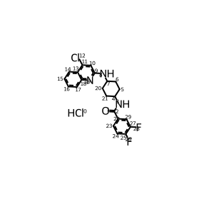 Cl.O=C(NC1CCC(Nc2cc(Cl)c3ccccc3n2)CC1)c1ccc(F)c(F)c1